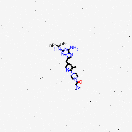 CCCC(CCC)Nc1nc(N)c2ncc(Cc3cnc(N4CCN(C(=O)CN(C)C)CC4)c(C)c3)n2n1